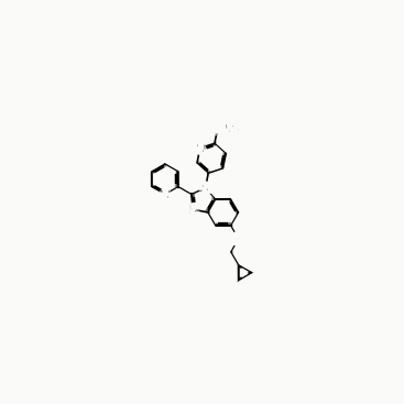 COc1ccc(-n2c(-c3ccccn3)nc3cc(OCC4CC4)ccc32)cn1